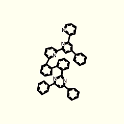 c1ccc(-c2cc(-c3ccccn3)nc(-c3cccc(-c4ccccc4-c4ccccc4-c4nc(-c5ccccc5)cc(-c5ccccc5)n4)n3)c2)cc1